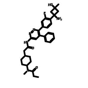 CCC(=O)N(C)C1CCC(CC(=O)Nc2cc(-c3ccccc3)c(-c3ccc(C4(N)CC(C)(O)C4)c(F)c3)nn2)CC1